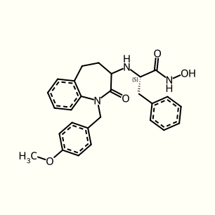 COc1ccc(CN2C(=O)C(N[C@@H](Cc3ccccc3)C(=O)NO)CCc3ccccc32)cc1